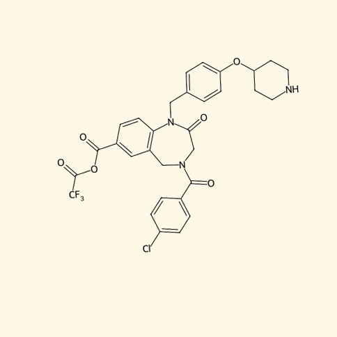 O=C(OC(=O)C(F)(F)F)c1ccc2c(c1)CN(C(=O)c1ccc(Cl)cc1)CC(=O)N2Cc1ccc(OC2CCNCC2)cc1